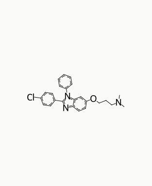 CN(C)CCCOc1ccc2nc(-c3ccc(Cl)cc3)n(-c3ccccc3)c2c1